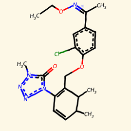 CCO/N=C(/C)c1ccc(OCC2=C(n3nnn(C)c3=O)C=CC(C)C2C)c(Cl)c1